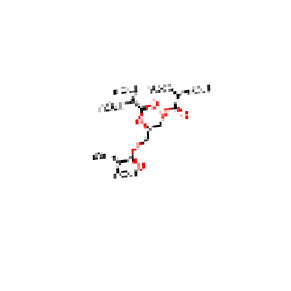 CCCCCCCCC(CCCCCCCC)C(=O)OCC(COC(=O)C(CCCCCCCC)CCCCCCCC)OC(=O)C(CCCCCCCC)CCCCCCCC